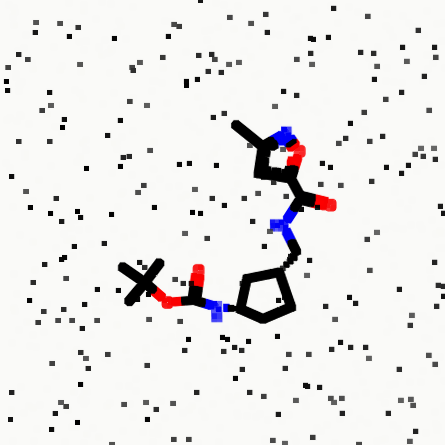 Cc1cc(C(=O)NC[C@@H]2CC[C@H](NC(=O)OC(C)(C)C)C2)on1